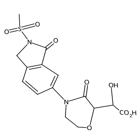 CS(=O)(=O)N1Cc2ccc(N3CCOC(C(O)C(=O)O)C3=O)cc2C1=O